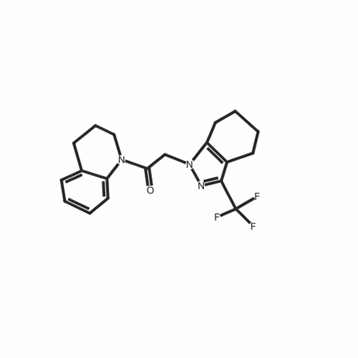 O=C(Cn1nc(C(F)(F)F)c2c1CCCC2)N1CCCc2ccccc21